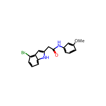 COc1cccc(NC(=O)Cc2cc3c(Br)cccc3[nH]2)c1